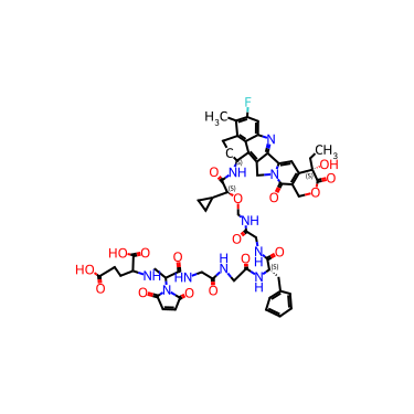 CC[C@@]1(O)C(=O)OCc2c1cc1n(c2=O)Cc2c-1nc1cc(F)c(C)c3c1c2[C@@H](NC(=O)[C@@H](OCNC(=O)CNC(=O)[C@H](Cc1ccccc1)NC(=O)CNC(=O)CNC(=O)C(CNC(CCC(=O)O)C(=O)O)N1C(=O)C=CC1=O)C1CC1)CC3